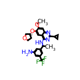 COc1cc2nc(C3CC3)nc(NC(C)c3cc(N)cc(C(F)(F)F)c3)c2cc1O[C@H]1CCOC1